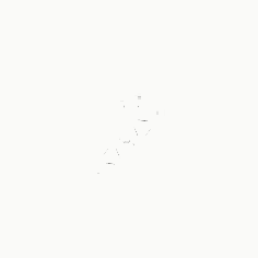 Oc1ccc(N=Nc2ccc(Br)cc2)cc1B1OBOBO1